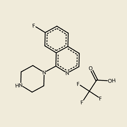 Fc1ccc2ccnc(N3CCNCC3)c2c1.O=C(O)C(F)(F)F